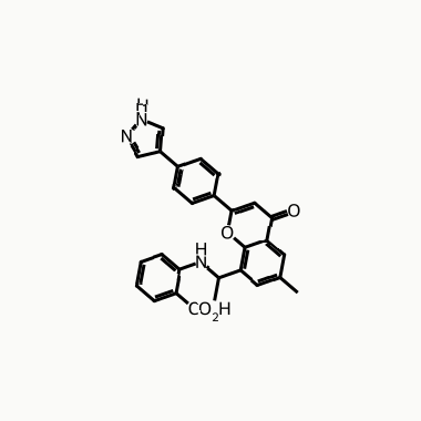 Cc1cc(C(C)Nc2ccccc2C(=O)O)c2oc(-c3ccc(-c4cn[nH]c4)cc3)cc(=O)c2c1